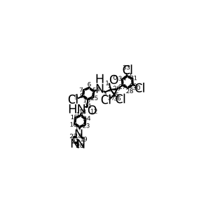 O=CC1(CNc2ccc(Cl)c(C(=O)Nc3ccc(-n4cnnc4)cc3)c2)C(c2cc(Cl)cc(Cl)c2)C1(Cl)Cl